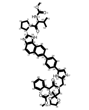 COC(=O)N[C@H](C(=O)N1CCC[C@H]1c1nc2ccc3cc(-c4ccc(-c5cnc(CN(CC6(C)OCCO6)C(=O)[C@H](NC(=O)OC)c6ccccc6)[nH]5)cc4)ccc3c2[nH]1)C(C)C